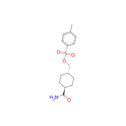 Cc1ccc(S(=O)(=O)OC[C@H]2CC[C@H](C(N)=O)CC2)cc1